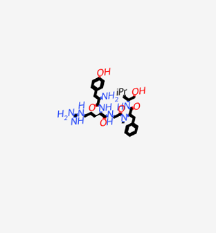 CC(C)CC(CO)NC(=O)C(Cc1ccccc1)N(C)C(=O)CNC(=O)[C@@H](CCCNC(=N)N)NC(=O)C(N)Cc1ccc(O)cc1